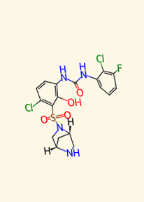 O=C(Nc1ccc(Cl)c(S(=O)(=O)N2C[C@@H]3C[C@H]2CN3)c1O)Nc1cccc(F)c1Cl